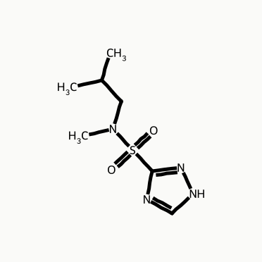 CC(C)CN(C)S(=O)(=O)c1nc[nH]n1